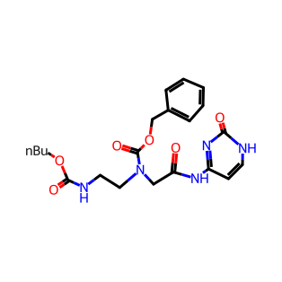 CCCCOC(=O)NCCN(CC(=O)Nc1cc[nH]c(=O)n1)C(=O)OCc1ccccc1